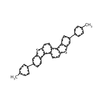 Cc1ccc(-c2ccc3c(c2)sc2ccc4c(ccc5sc6cc(-c7ccc(C)cc7)ccc6c54)c23)cc1